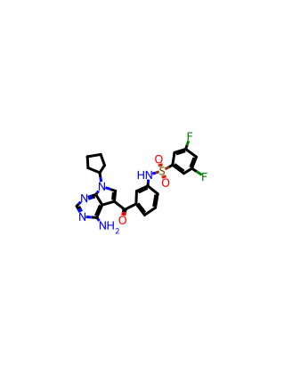 Nc1ncnc2c1c(C(=O)c1cccc(NS(=O)(=O)c3cc(F)cc(F)c3)c1)cn2C1CCCC1